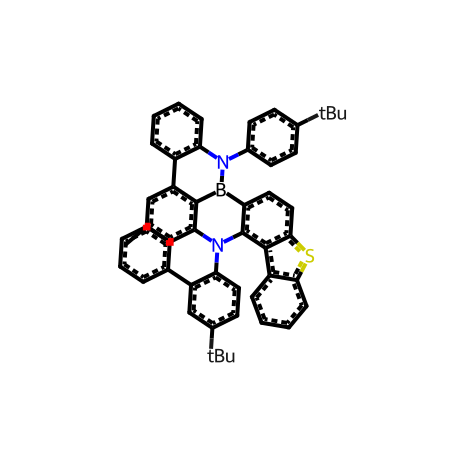 Cc1cc2c3c(c1)N(c1ccc(C(C)(C)C)cc1-c1ccccc1)c1c(ccc4sc5ccccc5c14)B3N(c1ccc(C(C)(C)C)cc1)c1ccccc1-2